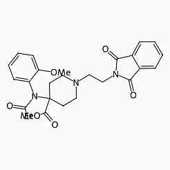 CCC(=O)N(c1ccccc1OC)C1(C(=O)OC)CCN(CCN2C(=O)c3ccccc3C2=O)CC1